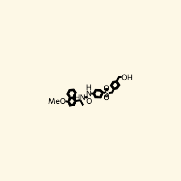 COc1ccc(C(C)NC(=O)Nc2ccc(S(=O)(=O)Cc3ccc(CO)cc3)cc2)c2ccccc12